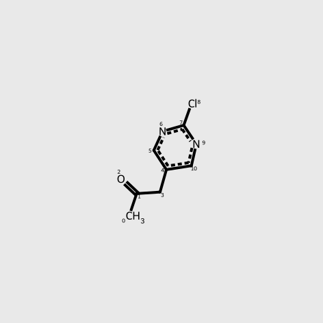 CC(=O)Cc1cnc(Cl)nc1